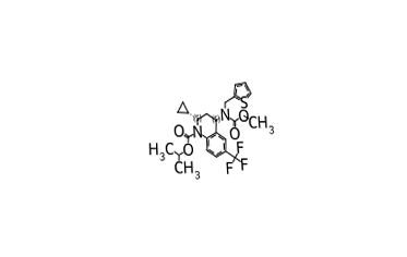 COC(=O)N(Cc1cccs1)[C@H]1C[C@@H](C2CC2)N(C(=O)OC(C)C)c2ccc(C(F)(F)F)cc21